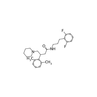 Cc1cccc(C)c1C(CC(=O)NCCCc1c(F)cccc1F)CN1CCCCC1